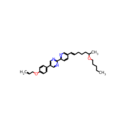 C=CCOc1ccc(-c2cnc(-c3ccc(/C=C/CCCC(C)OCCCCC)cn3)nc2)cc1